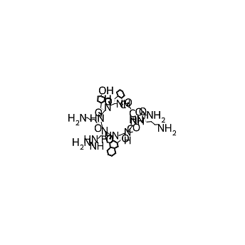 N=C(N)NCCC[C@H]1NC(=O)[C@H](CCCCN)NC(=O)[C@H](Cc2ccc(O)cc2)NC(=O)[C@H](Cc2ccccc2)NCC(=O)CC[C@H](C(=O)N[C@@H](CCCCN)C(N)=O)NC(=O)CNC(=O)[C@H](Cc2ccc3ccccc3c2)NC1=O